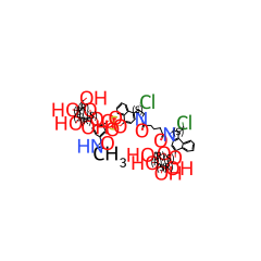 CNC(=O)c1ccc(O[C@@H]2O[C@H](CO)[C@H](O)[C@H](O)[C@H]2O)c(OS(=O)(=O)Oc2cc3c(c4ccccc24)[C@H](CCl)CN3C(=O)CCCC(=O)N2C[C@@H](CCl)c3c2cc(O[C@@H]2O[C@H](CO)[C@H](O)[C@H](O)[C@H]2O)c2ccccc32)c1